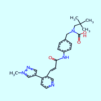 Cn1cc(-c2ccncc2/C=C/C(=O)Nc2ccc(CN(CC(C)(C)C)C(=O)O)cc2)cn1